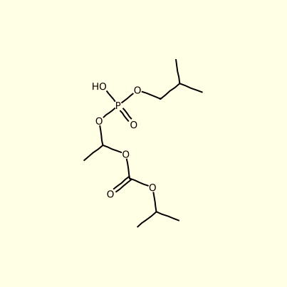 CC(C)COP(=O)(O)OC(C)OC(=O)OC(C)C